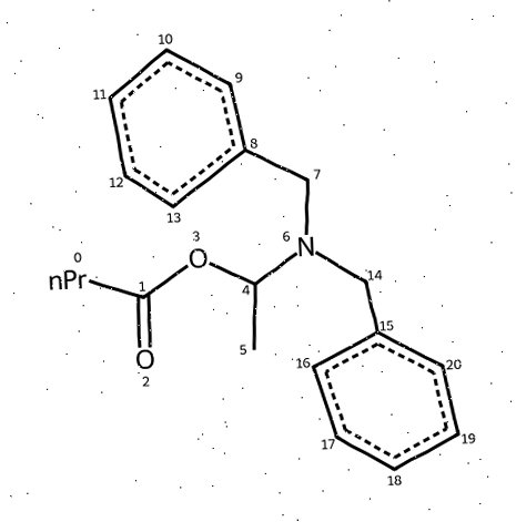 CCCC(=O)OC(C)N(Cc1ccccc1)Cc1ccccc1